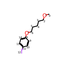 COCCCCCOc1ccc(I)cc1